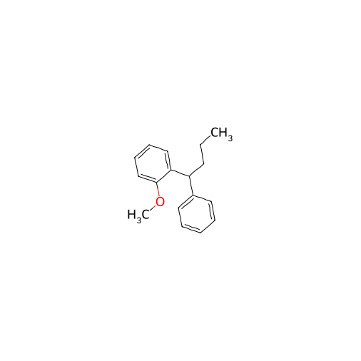 CCCC(c1ccccc1)c1ccccc1OC